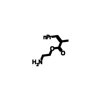 CCCC=C(C)C(=O)OCCN